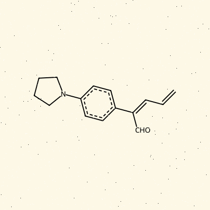 C=CC=C(C=O)c1ccc(N2CCCC2)cc1